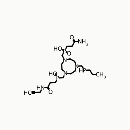 C#CCNC(=O)CCP(O)CN1CCN(CPCCC)CCN(CP(=O)(O)CCC(N)=O)CC1